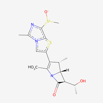 Cc1nc([S+](C)[O-])c2sc(C3=C(C(=O)O)N4C(=O)[C@H]([C@@H](C)O)[C@H]4[C@H]3C)cn12